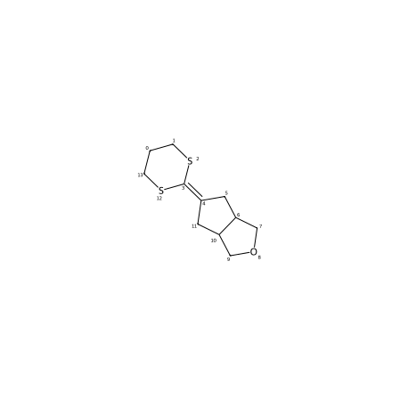 C1CSC(=C2CC3COCC3C2)SC1